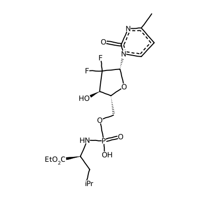 CCOC(=O)[C@H](CC(C)C)NP(=O)(O)OC[C@H]1O[C@@H](n2ccc(C)nc2=O)C(F)(F)[C@@H]1O